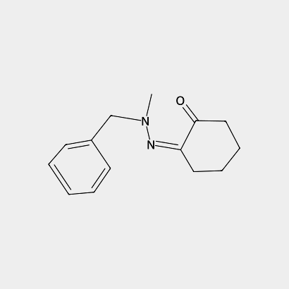 CN(Cc1ccccc1)N=C1CCCCC1=O